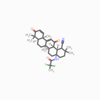 CC(F)(F)C(=O)N[C@]12CCC(C)(C)C(C#N)[C@H]1[C@H]1C(=O)C=C3[C@@]4(C)C=CC(=O)C(C)(C)[C@@H]4CC[C@@]3(C)[C@]1(C)CC2